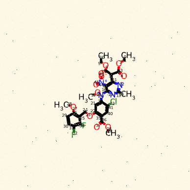 CCOC(=O)C(C(=O)OCC)c1nc(C)nc(N(OC)c2cc(OCc3c(OC)ccc(F)c3F)c(C(=O)OC)cc2Cl)c1[N+](=O)[O-]